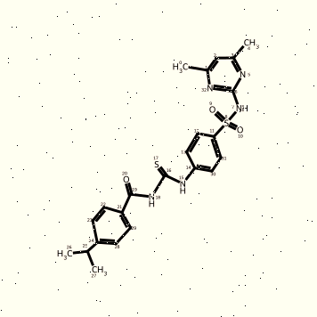 Cc1cc(C)nc(NS(=O)(=O)c2ccc(NC(=S)NC(=O)c3ccc(C(C)C)cc3)cc2)n1